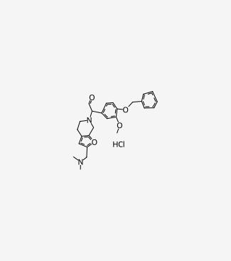 COc1cc(C(C=O)N2CCc3cc(CN(C)C)oc3C2)ccc1OCc1ccccc1.Cl